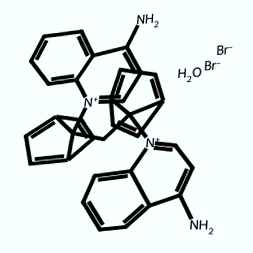 Nc1cc[n+](C2(CC3([n+]4ccc(N)c5ccccc54)C4=CC=C3C=C4)C3=CC=C2C=C3)c2ccccc12.O.[Br-].[Br-]